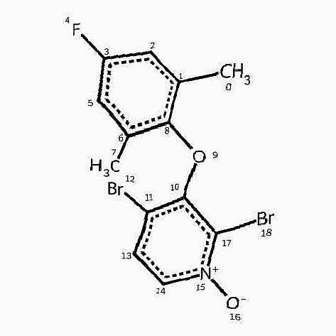 Cc1cc(F)cc(C)c1Oc1c(Br)cc[n+]([O-])c1Br